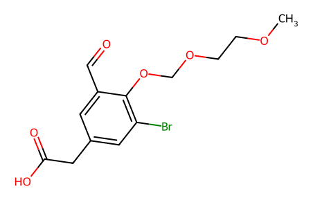 COCCOCOc1c(Br)cc(CC(=O)O)cc1C=O